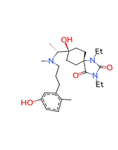 CCN1C(=O)N(CC)[C@]2(CC[C@@](O)([C@@H](C)N(C)CCCc3cc(O)ccc3C)CC2)C1=O